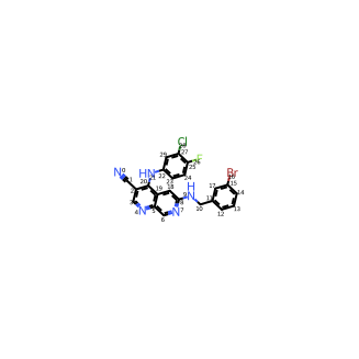 N#Cc1cnc2cnc(NCc3cccc(Br)c3)cc2c1Nc1ccc(F)c(Cl)c1